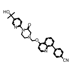 CC(C)(O)c1ccc(N2CCN(COc3ccnc4c(-c5ccc(C#N)cc5)cccc34)CC2=O)nc1